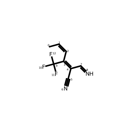 C/C=C\C(=C(\C#N)C=N)C(F)(F)F